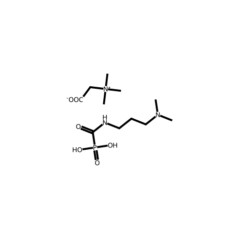 CN(C)CCCNC(=O)P(=O)(O)O.C[N+](C)(C)CC(=O)[O-]